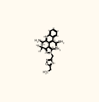 CCc1nc(Cn2nc(C(F)(F)F)c(-c3c(C(N)=O)nc4ccccc4c3C(N)=O)c2C)no1